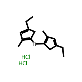 CCC1=CC(C)=[C]([Ti][C]2=C(C)C=C(CC)C2)C1.Cl.Cl